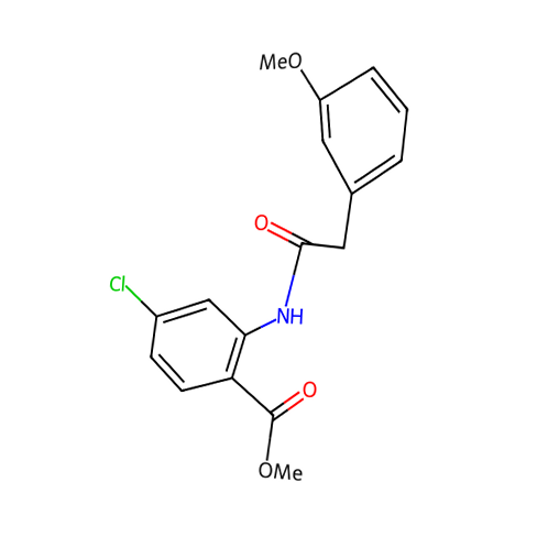 COC(=O)c1ccc(Cl)cc1NC(=O)Cc1cccc(OC)c1